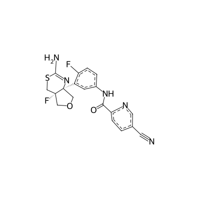 N#Cc1ccc(C(=O)Nc2ccc(F)c([C@]34COC[C@@]3(F)CSC(N)=N4)c2)nc1